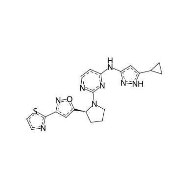 c1cc(Nc2cc(C3CC3)[nH]n2)nc(N2CCC[C@H]2c2cc(-c3nccs3)no2)n1